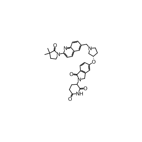 CC1(C)CCN(c2ccc3cc(CN4CC[C@H](Oc5ccc6c(c5)CN(C5CCC(=O)NC5=O)C6=O)C4)ccc3n2)C1=O